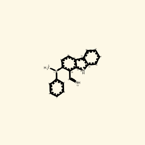 CN(c1ccccc1)c1ccc2c([nH]c3ccccc32)c1C=N